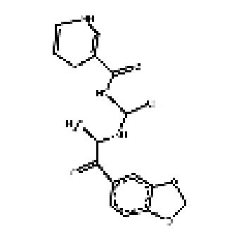 CC(NC(=O)C1=CNC=CC1)NC(C)C(=O)c1ccc2c(c1)OCO2